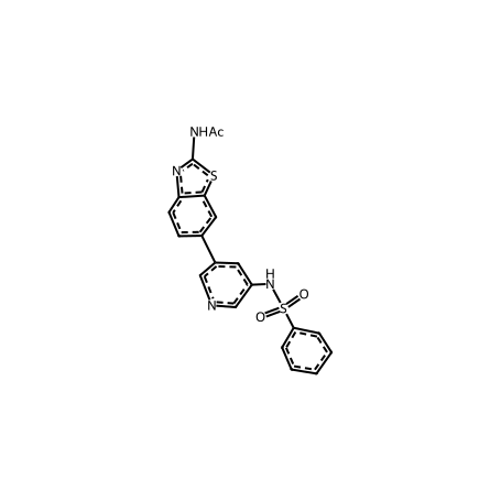 CC(=O)Nc1nc2ccc(-c3cncc(NS(=O)(=O)c4ccccc4)c3)cc2s1